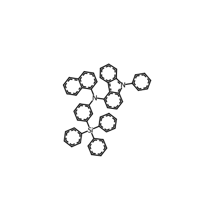 c1ccc(-n2c3ccccc3c3c(N(c4cccc([Si](c5ccccc5)(c5ccccc5)c5ccccc5)c4)c4cccc5ccccc45)cccc32)cc1